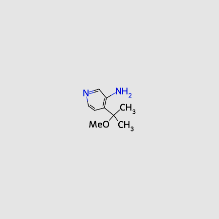 COC(C)(C)c1ccncc1N